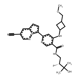 COCC1CC(Nc2cc(-c3ccc4cc(C#N)cnn34)ncc2C(=O)NC[C@@H](F)C(C)(C)O)C1